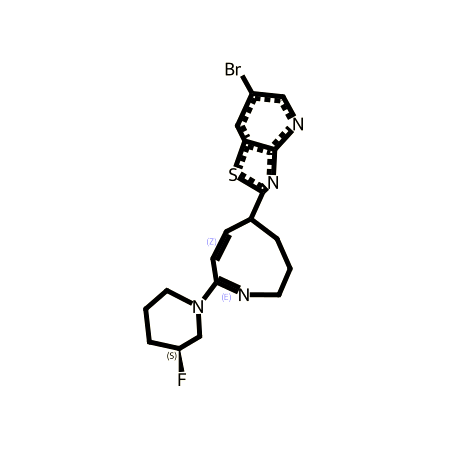 F[C@H]1CCCN(C2=N/CCCC(c3nc4ncc(Br)cc4s3)/C=C\2)C1